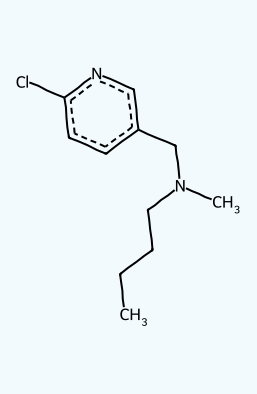 CCCCN(C)Cc1ccc(Cl)nc1